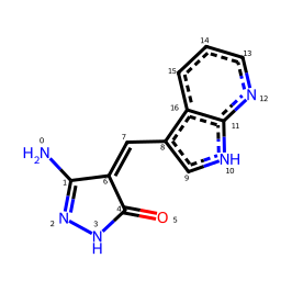 NC1=NNC(=O)/C1=C\c1c[nH]c2ncccc12